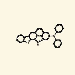 c1ccc(N(c2ccccc2)c2cc3ccc4cc5c6ccccc6oc5c5[nH]c(c2)c3c45)cc1